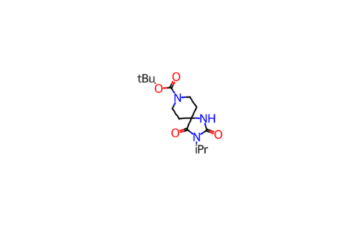 CC(C)N1C(=O)NC2(CCN(C(=O)OC(C)(C)C)CC2)C1=O